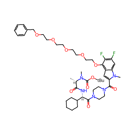 C[C@@H](C(=O)N[C@H](C(=O)N1CCN(C(=O)c2cc3c(OCCOCCOCCOCCOCc4ccccc4)c(F)c(F)cc3n2C)CC1)C1CCCCC1)N(C)C(=O)OC(C)(C)C